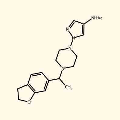 CC(=O)Nc1cnn(N2CCN(C(C)c3ccc4c(c3)OCC4)CC2)c1